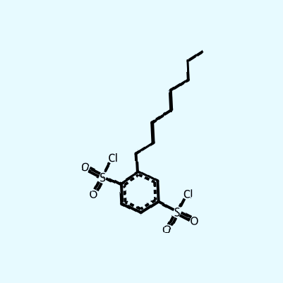 CCCCCCCCc1cc(S(=O)(=O)Cl)ccc1S(=O)(=O)Cl